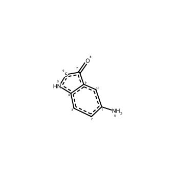 Nc1ccc2[nH]sc(=O)c2c1